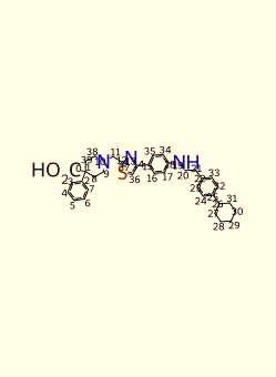 O=C(O)C1(c2ccccc2)CCN(Cc2nc(-c3ccc(NCCc4ccc(C5CCCCC5)cc4)cc3)cs2)CC1